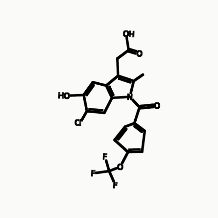 Cc1c(CC(=O)O)c2cc(O)c(Cl)cc2n1C(=O)c1ccc(OC(F)(F)F)cc1